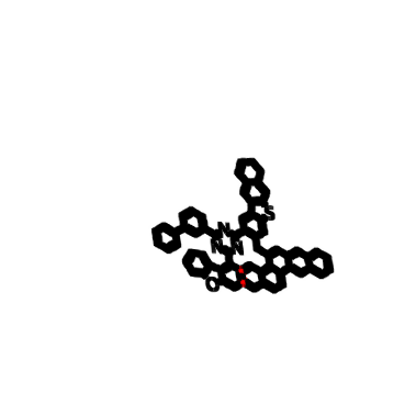 C1=Cc2cc3c(cc2CC1)sc1cc(Cc2cc4cc5ccccc5cc4c4ccc5ccccc5c24)c(-c2nc(-c4cccc(-c5ccccc5)c4)nc(-c4cccc5oc6ccccc6c45)n2)cc13